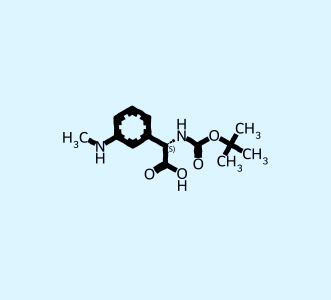 CNc1cccc([C@H](NC(=O)OC(C)(C)C)C(=O)O)c1